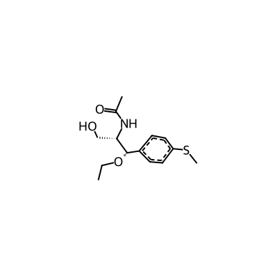 CCO[C@@H](c1ccc(SC)cc1)[C@H](CO)NC(C)=O